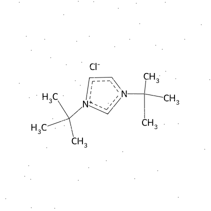 CC(C)(C)n1cc[n+](C(C)(C)C)c1.[Cl-]